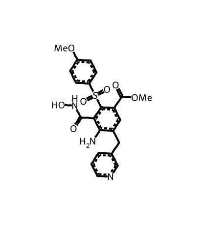 COC(=O)c1cc(Cc2cccnc2)c(N)c(C(=O)NO)c1S(=O)(=O)c1ccc(OC)cc1